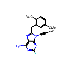 CCCC#Cn1c(Cc2cc(OC)ccc2OC)nc2c(N)nc(F)nc21